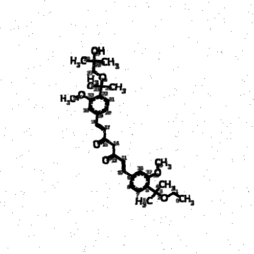 CCOC(C)(C)c1ccc(/C=C/C(=O)CC(=O)/C=C/c2ccc(C(C)(C)OCC(C)(C)O)c(OC)c2)cc1OC